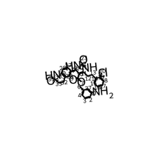 Nc1cccc(COC(=O)C2=C(CCc3ccccc3Cl)NC(=O)NC2c2ccc3c(c2)CCC(=O)N3)c1